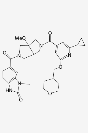 COC12CN(C(=O)c3cc(OCC4CCOCC4)nc(C4CC4)c3)CC1CN(C(=O)c1ccc3[nH]c(=O)n(C)c3c1)C2